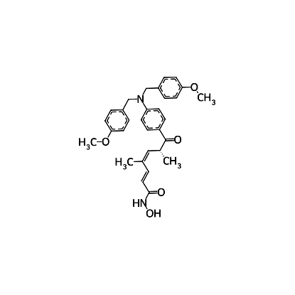 COc1ccc(CN(Cc2ccc(OC)cc2)c2ccc(C(=O)[C@H](C)C=C(C)C=CC(=O)NO)cc2)cc1